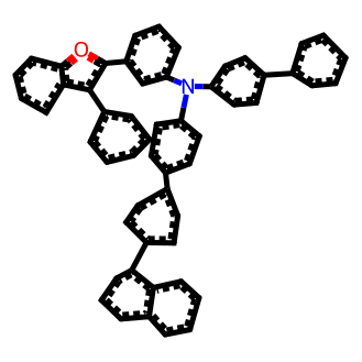 c1ccc(-c2ccc(N(c3ccc(-c4ccc(-c5cccc6ccccc56)cc4)cc3)c3cccc(-c4oc5ccccc5c4-c4ccccc4)c3)cc2)cc1